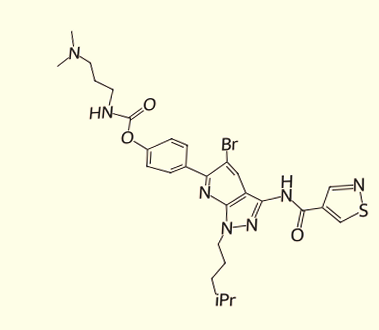 CC(C)CCCn1nc(NC(=O)c2cnsc2)c2cc(Br)c(-c3ccc(OC(=O)NCCCN(C)C)cc3)nc21